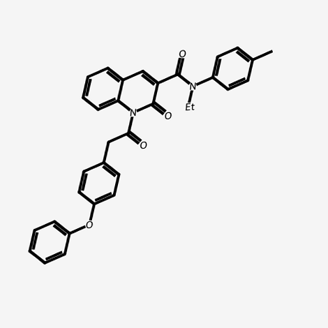 CCN(C(=O)c1cc2ccccc2n(C(=O)Cc2ccc(Oc3ccccc3)cc2)c1=O)c1ccc(C)cc1